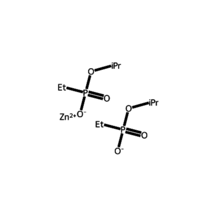 CCP(=O)([O-])OC(C)C.CCP(=O)([O-])OC(C)C.[Zn+2]